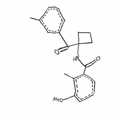 COc1cccc(C(=O)NC2(C(=O)c3cccc(C)c3)CCC2)c1C